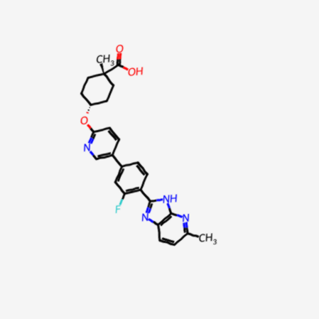 Cc1ccc2nc(-c3ccc(-c4ccc(O[C@H]5CC[C@@](C)(C(=O)O)CC5)nc4)cc3F)[nH]c2n1